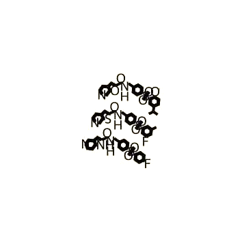 COc1ccc(C(C)C)cc1S(=O)(=O)c1ccc(CNC(=O)c2cc3ccncc3o2)cc1.Cc1cc(F)cc(S(=O)(=O)c2ccc(CNC(=O)c3cc4ccncc4s3)cc2)c1.O=C(NCc1ccc(S(=O)(=O)c2ccc(F)cc2)cc1)c1cc2cnccc2[nH]1